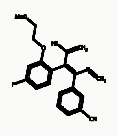 C=N/C(=C(\C(=C)S)c1ccc(F)cc1OCCOC)c1cccc(C#N)c1